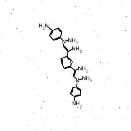 N/C(=C\N(N)c1ccc(N)cc1)c1cccc(/C(N)=C/N(N)c2ccc(N)cc2)n1